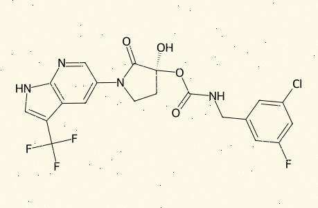 O=C(NCc1cc(F)cc(Cl)c1)O[C@@]1(O)CCN(c2cnc3[nH]cc(C(F)(F)F)c3c2)C1=O